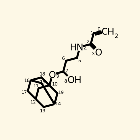 C=CC(=O)NCCC(O)OC12CC3CC(CC(C3)C1)C2